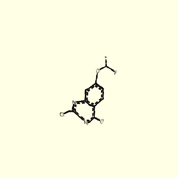 FC(F)Oc1ccc2c(Cl)nc(Cl)nc2c1